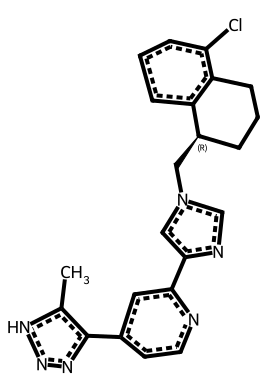 Cc1[nH]nnc1-c1ccnc(-c2cn(C[C@@H]3CCCc4c(Cl)cccc43)cn2)c1